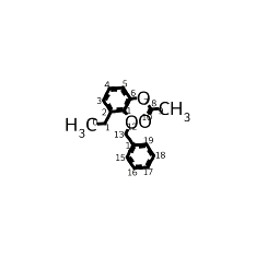 CCc1cccc(OC(C)=O)c1OCc1ccccc1